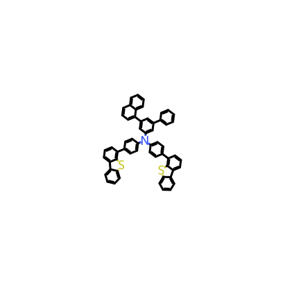 c1ccc(-c2cc(-c3cccc4ccccc34)cc(N(c3ccc(-c4cccc5c4sc4ccccc45)cc3)c3ccc(-c4cccc5c4sc4ccccc45)cc3)c2)cc1